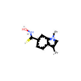 CC(C)c1cn(C(C)C)c2cc(C(=S)NO)ccc12